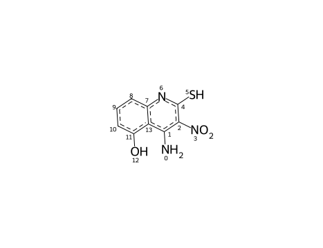 Nc1c([N+](=O)[O-])c(S)nc2cccc(O)c12